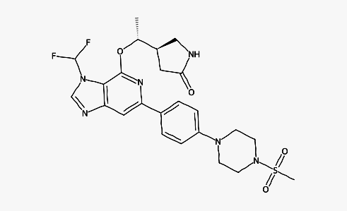 C[C@@H](Oc1nc(-c2ccc(N3CCN(S(C)(=O)=O)CC3)cc2)cc2ncn(C(F)F)c12)[C@H]1CNC(=O)C1